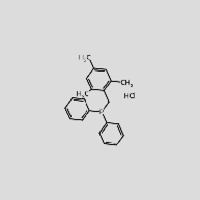 Cc1cc(C)c(CP(c2ccccc2)c2ccccc2)c(C)c1.Cl